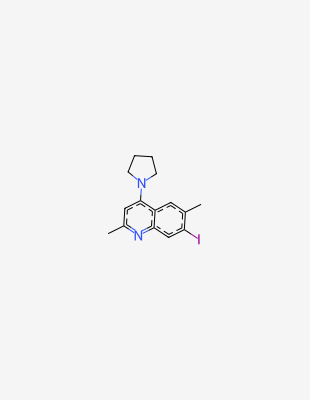 Cc1cc(N2CCCC2)c2cc(C)c(I)cc2n1